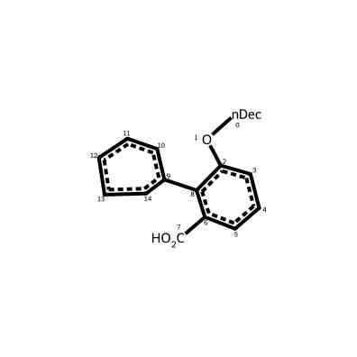 CCCCCCCCCCOc1cccc(C(=O)O)c1-c1ccccc1